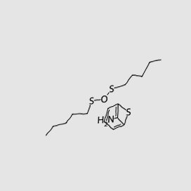 CCCCCSOSCCCCC.Nc1c2cccc1S2